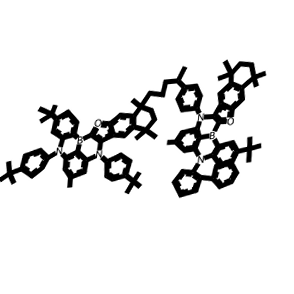 Cc1cc2c3c(c1)N(c1ccc(C(C)(C)C)cc1)c1c(oc4cc5c(cc14)C(C)(C)CCC5(C)CCCC(C)c1ccc(N4c5cc(C)cc6c5B(c5cc(C(C)(C)C)ccc5N6c5ccccc5-c5ccccc5)c5oc6cc7c(cc6c54)C(C)(C)CCC7(C)C)cc1)B3c1ccc(C(C)(C)C)cc1N2c1ccc(C(C)(C)C)cc1